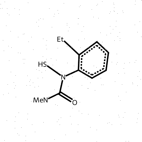 CCc1ccccc1N(S)C(=O)NC